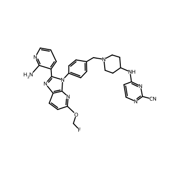 N#Cc1nccc(NC2CCN(Cc3ccc(-n4c(-c5cccnc5N)nc5ccc(OCF)nc54)cc3)CC2)n1